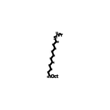 [CH2]CCCCCCCCCCCCCCCCCSCCC